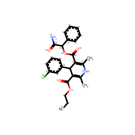 CC1=C(C(=O)OCCC#N)C(c2cccc(Cl)c2)C(C(=O)OC(C(N)=O)c2ccccc2)=C(C)N1